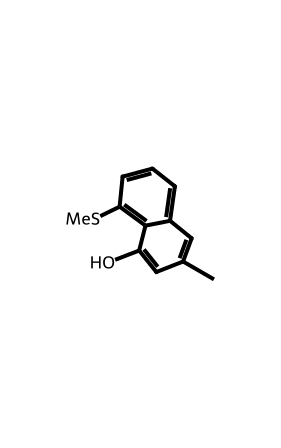 CSc1cccc2cc(C)cc(O)c12